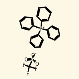 O=S(=O)([O-])C(F)(F)F.c1ccc([P+](c2ccccc2)(c2ccccc2)c2ccccc2)cc1